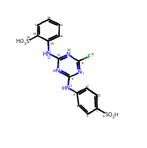 O=S(=O)(O)c1[c]cc(Nc2nc(F)nc(Nc3ccccc3S(=O)(=O)O)n2)cc1